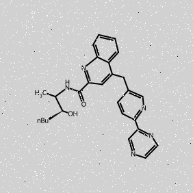 CCCC[C@H](O)C(C)NC(=O)c1cc(Cc2ccc(-c3cnccn3)nc2)c2ccccc2n1